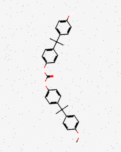 COc1ccc(C(C)(C)c2ccc(OC(=O)Oc3ccc(C(C)(C)c4ccc(O)cc4)cc3)cc2)cc1